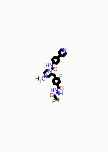 CN1CCN(C(=O)Nc2ccc(-c3ccncc3)cc2)C(Cc2ccc(C(=O)NNC(=O)C(F)F)cc2F)C1